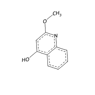 COc1cc(O)c2ccccc2n1